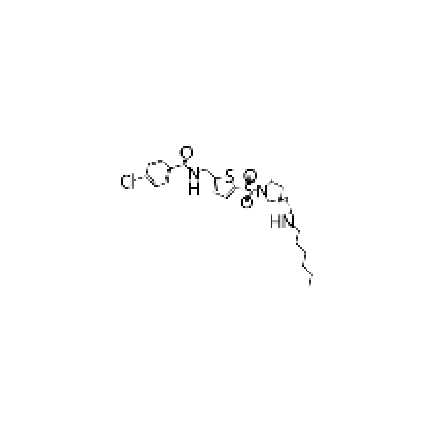 CCCCCCNC[C@H]1CCN(S(=O)(=O)c2ccc(CNC(=O)c3ccc(Cl)cc3)s2)C1